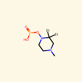 CCC1(CC)CN(C)CCN1O[P](=O)O